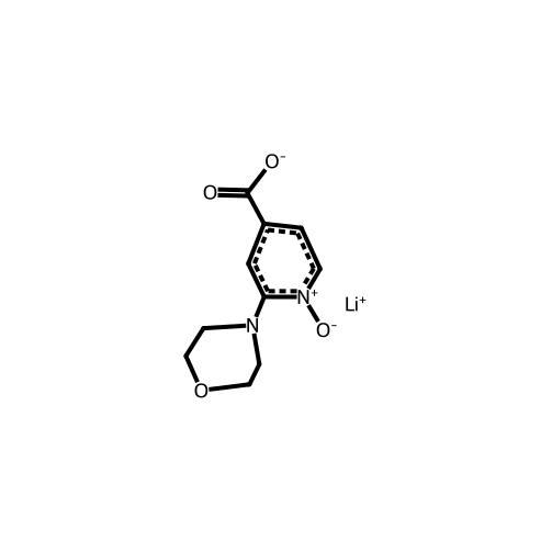 O=C([O-])c1cc[n+]([O-])c(N2CCOCC2)c1.[Li+]